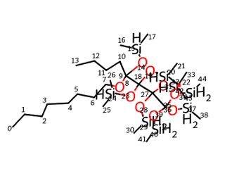 CCCCCCCCOC(CCCC)(O[SiH](C)C)C(O[SiH](C)C)(O[SiH](C)C)C(O[SiH2]C)(O[SiH](C)C)C(O[SiH2]C)(O[SiH2]C)O[SiH2]C